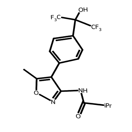 Cc1onc(NC(=O)C(C)C)c1-c1ccc(C(O)(C(F)(F)F)C(F)(F)F)cc1